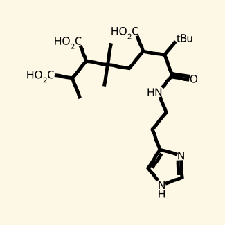 CC(C(=O)O)C(C(=O)O)C(C)(C)CC(C(=O)O)C(C(=O)NCCc1c[nH]cn1)C(C)(C)C